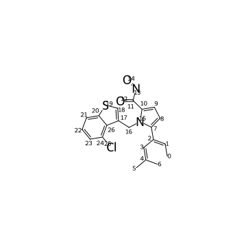 C/C=C(\C=C(C)C)c1ccc(C(=O)N=O)n1Cc1csc2cccc(Cl)c12